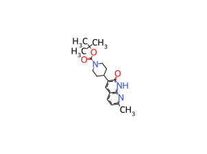 Cc1ccc2cc(C3CCN(C(=O)OC(C)(C)C)CC3)c(=O)[nH]c2n1